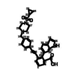 O=C(O)c1cccc(C#Cc2ccc(CN3CCN(S(=O)(=O)C4CC4)CC3)cc2)c1-c1ccc2cc[nH]c2c1